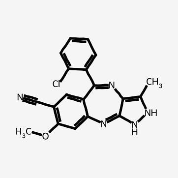 COc1cc2c(cc1C#N)C(c1ccccc1Cl)=NC1=C(C)NNC1=N2